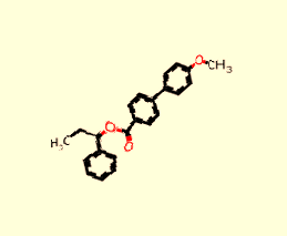 CC[C@@H](OC(=O)c1ccc(-c2ccc(OC)cc2)cc1)c1ccccc1